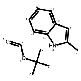 CC(C)(C)OC=O.Cc1cc2ccccc2[nH]1